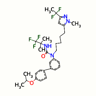 CC(C)Oc1ccc(-c2cccc(N(CCCCCc3cc(C(C)(F)F)nn3C)C(=O)NC(C)(C)C(F)(F)F)c2)cc1